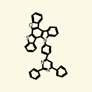 c1ccc(-c2cc(-c3ccc(-n4c5ccccc5c5c6c7ccccc7oc6c6sc7ccccc7c6c54)cc3)nc(-c3ccccc3)n2)cc1